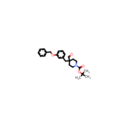 CC(C)(C)OC(=O)N1CCC(C=O)(Cc2cccc(OCc3ccccc3)c2)CC1